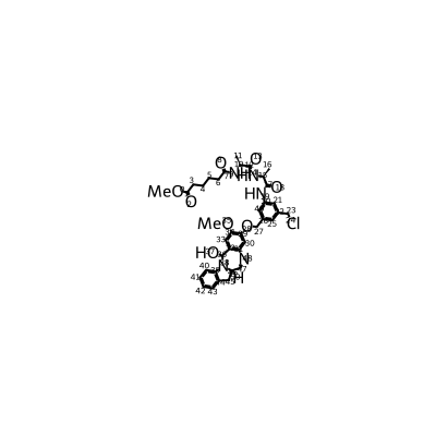 COC(=O)CCCCC(=O)N[C@@H](C)C(=O)N[C@@H](C)C(=O)Nc1cc(CCl)cc(COc2cc3c(cc2OC)C(O)N2c4ccccc4C[C@H]2C=N3)c1